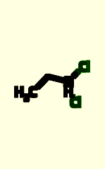 CC[SiH](Cl)Cl